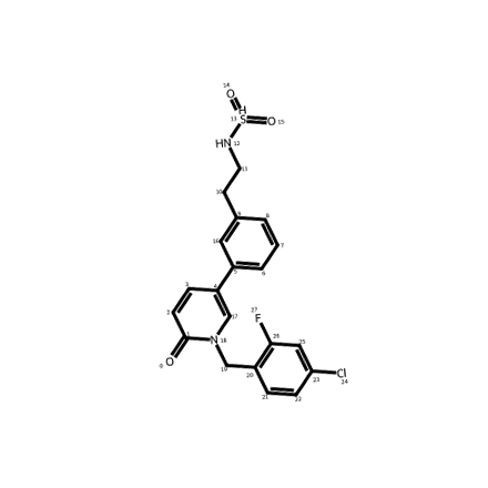 O=c1ccc(-c2cccc(CCN[SH](=O)=O)c2)cn1Cc1ccc(Cl)cc1F